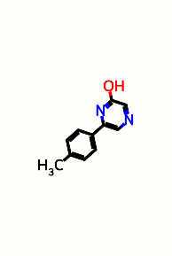 Cc1ccc(-c2cncc(O)n2)cc1